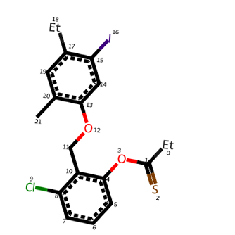 CCC(=S)Oc1cccc(Cl)c1COc1cc(I)c(CC)cc1C